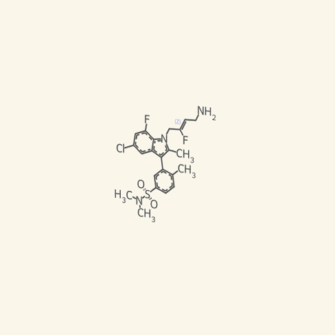 Cc1ccc(S(=O)(=O)N(C)C)cc1-c1c(C)n(C/C(F)=C/CN)c2c(F)cc(Cl)cc12